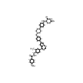 Cc1cc(-c2ncnn3cc(-c4ccc(CN5CCC(c6ccc(NC7CCC(=O)NC7=O)cc6)CC5)cc4)cc23)ccc1CNC(=O)c1ccc(C(C)(C)C)cc1